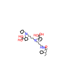 CCC(CC(C)(C)C(=O)NCCCCCCN(CCCCCCN(Cc1ccccc1)Cc1ccccc1B(O)O)Cc1ccccc1B(O)O)c1ccccc1